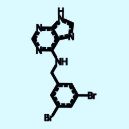 Brc1cc(Br)cc(CNc2ncnc3[nH]cnc23)c1